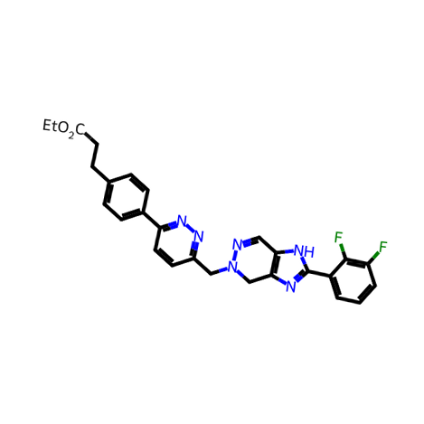 CCOC(=O)CCc1ccc(-c2ccc(CN3Cc4nc(-c5cccc(F)c5F)[nH]c4C=N3)nn2)cc1